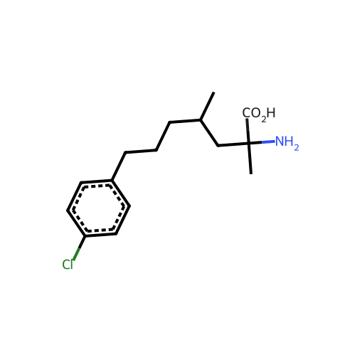 CC(CCCc1ccc(Cl)cc1)CC(C)(N)C(=O)O